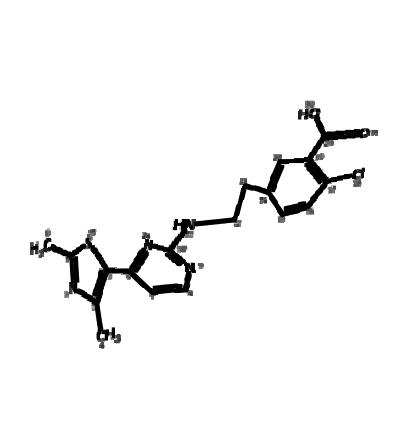 Cc1nc(C)c(-c2ccnc(NCCc3ccc(Cl)c(C(=O)O)c3)n2)s1